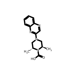 C[C@@H]1CN(c2cnc3ccccc3n2)C[C@@H](C)N1C(=O)O